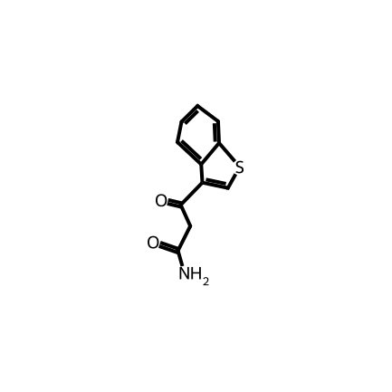 NC(=O)CC(=O)c1csc2ccccc12